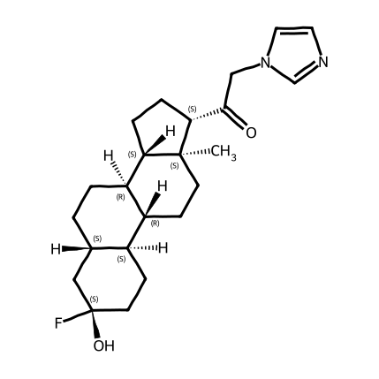 C[C@]12CC[C@H]3[C@@H](CC[C@H]4C[C@@](O)(F)CC[C@@H]43)[C@@H]1CC[C@@H]2C(=O)Cn1ccnc1